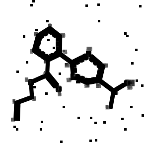 C=CCOC(=O)c1ccccc1-c1ncc(C(C)O)cn1